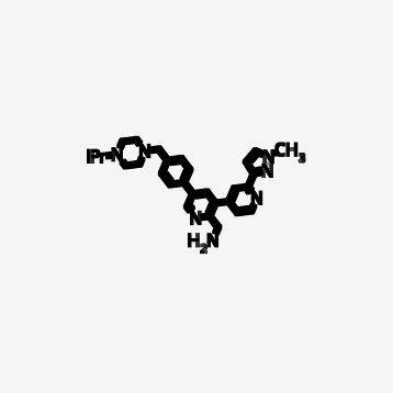 CC(C)N1CCN(Cc2ccc(-c3cnc(CN)c(-c4ccnc(-c5ccn(C)n5)c4)c3)cc2)CC1